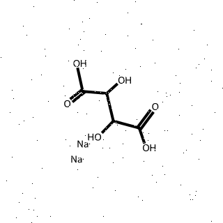 O=C(O)C(O)C(O)C(=O)O.[Na].[Na]